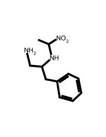 CC(NC(CN)Cc1ccccc1)[N+](=O)[O-]